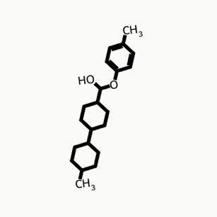 Cc1ccc(OC(O)C2CCC(C3CCC(C)CC3)CC2)cc1